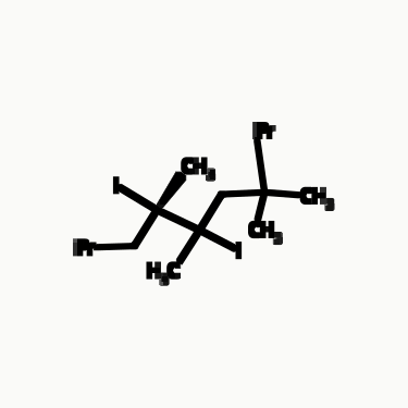 CC(C)C[C@](C)(I)C(C)(I)CC(C)(C)C(C)C